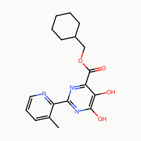 Cc1cccnc1-c1nc(O)c(O)c(C(=O)OCC2CCCCC2)n1